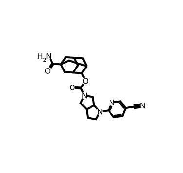 N#Cc1ccc(N2CCC3CN(C(=O)OC4C5CC6CC4CC(C(N)=O)(C6)C5)CC32)nc1